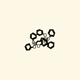 c1ccc(O[Si](CCC[Si](Oc2ccccc2)(Oc2ccccc2)Oc2ccccc2)(Oc2ccccc2)Oc2ccccc2)cc1